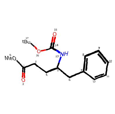 COC(=O)CCC(Cc1ccccc1)NC(=O)OC(C)(C)C